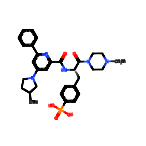 CCOC(=O)N1CCN(C(=O)[C@H](Cc2ccc(P(=O)(O)O)cc2)NC(=O)c2cc(N3CC[C@H](OC)C3)cc(-c3ccccc3)n2)CC1